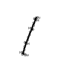 CC(C)(C)OC(=O)NCCOCCOCCNC(=O)CCOCCOCCOCCOCCC(=O)NCCOCCOCCNC(=O)OC(C)(C)C